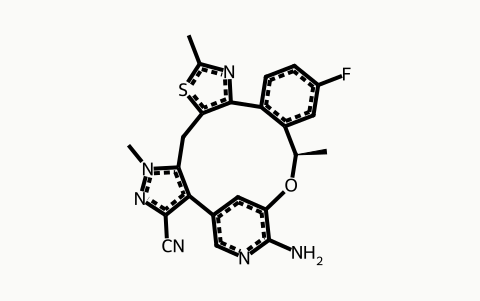 Cc1nc2c(s1)Cc1c(c(C#N)nn1C)-c1cnc(N)c(c1)O[C@H](C)c1cc(F)ccc1-2